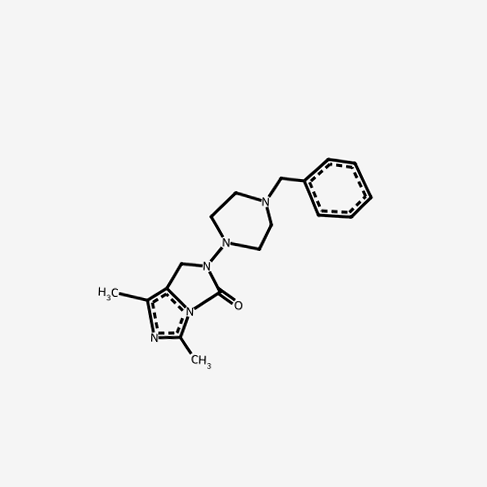 Cc1nc(C)n2c1CN(N1CCN(Cc3ccccc3)CC1)C2=O